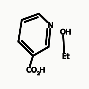 CCO.O=C(O)c1cccnc1